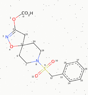 O=C(O)OC1=NOC2(CCN(S(=O)(=O)Cc3ccccc3)CC2)C1